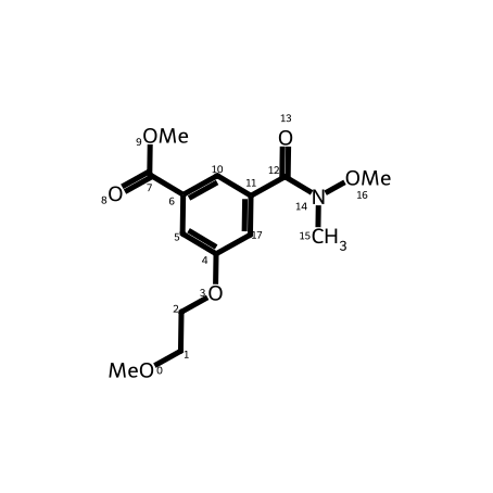 COCCOc1cc(C(=O)OC)cc(C(=O)N(C)OC)c1